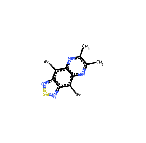 Cc1nc2c(C(C)C)c3nsnc3c(C(C)C)c2nc1C